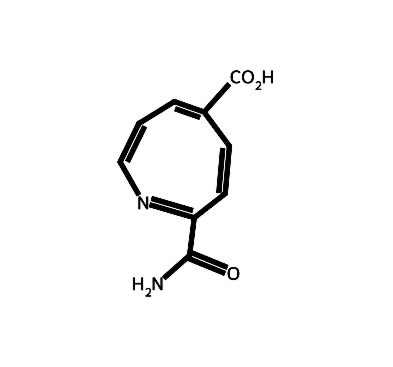 NC(=O)C1=NC=CC=C(C(=O)O)C=C1